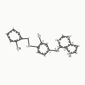 N#Cc1ccccc1COc1ccc(Nc2ncnc3cc[nH]c23)cc1Cl